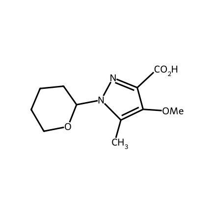 COc1c(C(=O)O)nn(C2CCCCO2)c1C